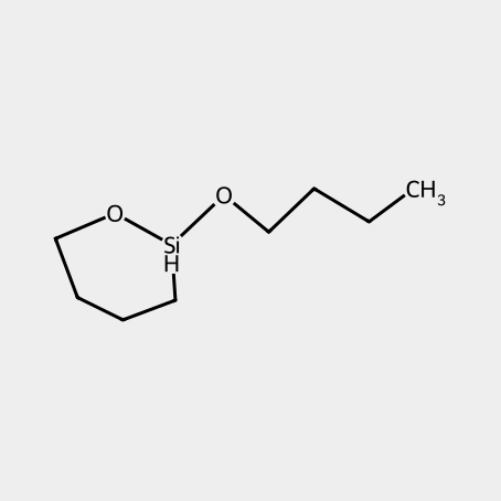 CCCCO[SiH]1CCCCO1